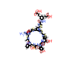 Cc1sc2nc1C(=O)N[C@@H]([C@H](O)c1ccccc1)c1nc(cs1)C(=O)N[C@@H](Cc1ccc(O)cc1)C(=O)N1C[C@H](O)[C@H](C)[C@H]1c1nc(cs1)-c1nc(cs1)-c1nc(-c3nc(C(=O)N[C@@H]4C[C@H](CCC(=O)O)C[C@H](CCC(=O)O)C4)cs3)ccc1-c1nc(cs1)C(=O)N[C@H]2CC(N)=O